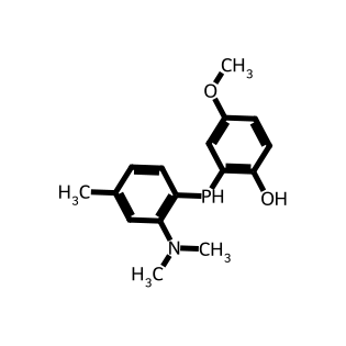 COc1ccc(O)c(Pc2ccc(C)cc2N(C)C)c1